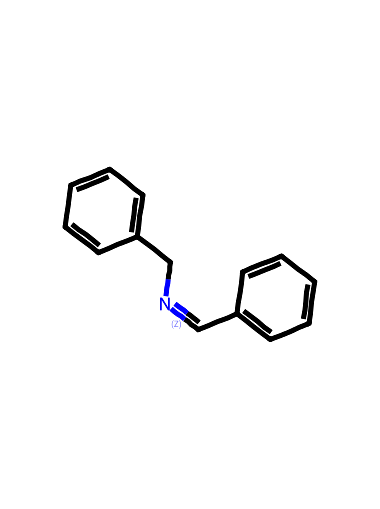 C(=N/Cc1ccccc1)/c1ccccc1